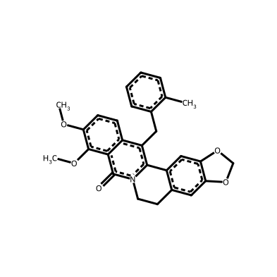 COc1ccc2c(Cc3ccccc3C)c3n(c(=O)c2c1OC)CCc1cc2c(cc1-3)OCO2